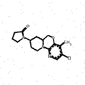 Cc1c(Cl)cnc2c1OCC1CC(N3CCCC3=O)CCN21